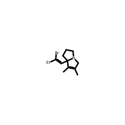 CC/C(Br)=C/C12CCCN1CC(C)=C2C